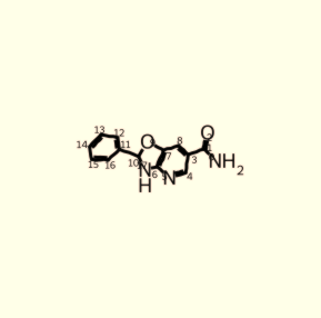 NC(=O)c1cnc2c(c1)OC(c1ccccc1)N2